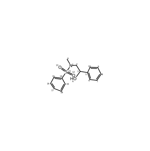 CN(CC(O)c1ccccc1)S(=O)(=O)c1ccccc1